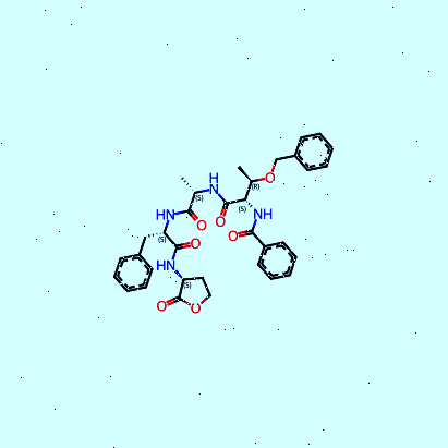 C[C@H](NC(=O)[C@@H](NC(=O)c1ccccc1)[C@@H](C)OCc1ccccc1)C(=O)N[C@@H](Cc1ccccc1)C(=O)N[C@H]1CCOC1=O